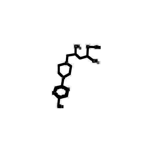 CC(CC(C)OC(C)(C)C)CN1CCN(c2cnc(C(C)(C)C)cn2)CC1